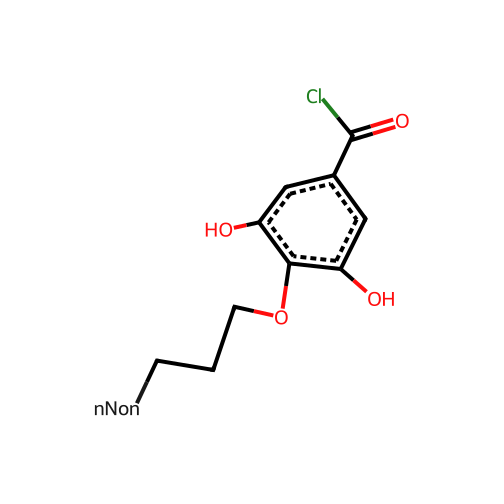 CCCCCCCCCCCCOc1c(O)cc(C(=O)Cl)cc1O